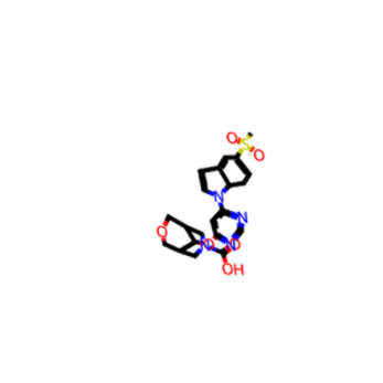 CS(=O)(=O)C1=CCC2C(=C1)C=CN2c1cc(OC2C3COCC2CN(C(=O)O)C3)ncn1